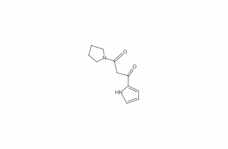 O=C(CC(=O)N1CCCC1)c1ccc[nH]1